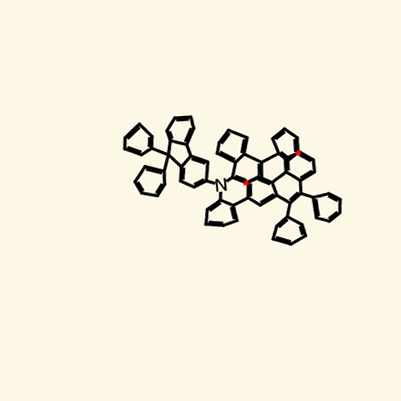 c1ccc(-c2ccc(N(c3ccc4c(c3)-c3ccccc3C4(c3ccccc3)c3ccccc3)c3ccccc3-c3ccc4c(c3)c(-c3ccccc3)c(-c3ccccc3)c3ccccc34)c3ccccc23)cc1